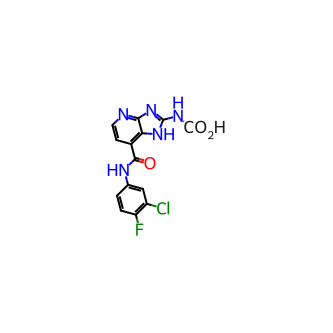 O=C(O)Nc1nc2nccc(C(=O)Nc3ccc(F)c(Cl)c3)c2[nH]1